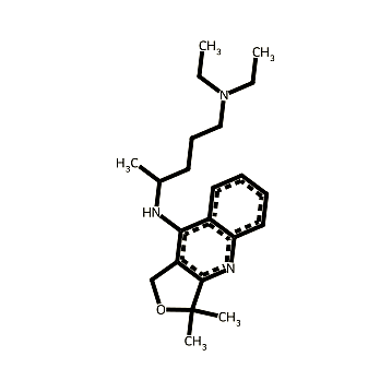 CCN(CC)CCCC(C)Nc1c2c(nc3ccccc13)C(C)(C)OC2